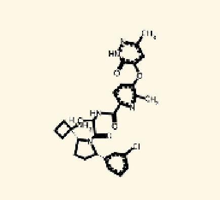 Cc1cc(Oc2ccc(C(=O)N[C@H](C)C(=O)N3[C@H](c4cccc(Cl)c4)CC[C@@H]3C3(N)CCC3)nc2C)c(=O)[nH]n1